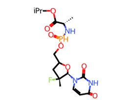 CC(C)OC(=O)[C@H](C)N[PH](=O)OCC1C[C@@](C)(F)[C@H](n2ccc(=O)[nH]c2=O)O1